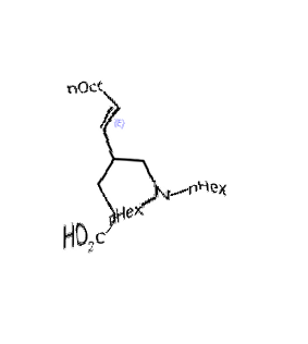 CCCCCCCC/C=C/C(CCC(=O)O)CN(CCCCCC)CCCCCC